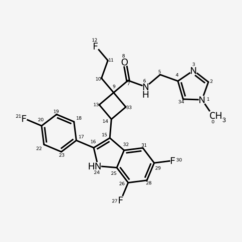 Cn1cnc(CNC(=O)C2(CCF)CC(c3c(-c4ccc(F)cc4)[nH]c4c(F)cc(F)cc34)C2)c1